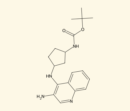 CC(C)(C)OC(=O)NC1CCC(Nc2c(N)cnc3ccccc23)C1